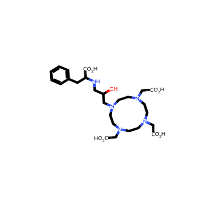 O=C(O)CN1CCN(CC(=O)O)CCN(CC(O)CNC(Cc2ccccc2)C(=O)O)CCN(CC(=O)O)CC1